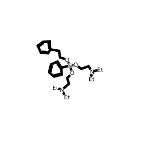 CCN(CC)CCO[Si](OCCc1ccccc1)(OCCN(CC)CC)c1ccccc1